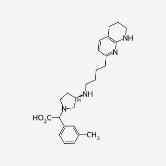 Cc1cccc(C(C(=O)O)N2CC[C@@H](NCCCCc3ccc4c(n3)NCCC4)C2)c1